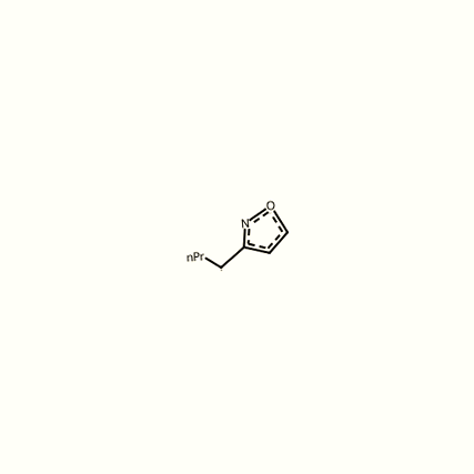 CCC[CH]c1ccon1